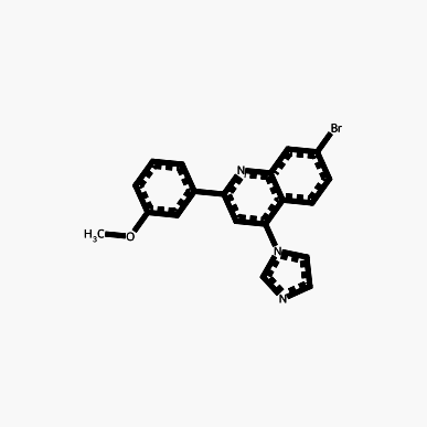 COc1cccc(-c2cc(-n3ccnc3)c3ccc(Br)cc3n2)c1